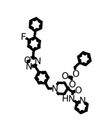 O=C(OCc1ccccc1)OC1(C(=O)Nc2ccccn2)CCN(Cc2ccc(-c3noc(-c4ccc(-c5ccccc5)c(F)c4)n3)cc2)CC1